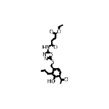 CCCc1c(CSc2nnc(NC(=O)CCC(=O)OCC)s2)ccc(C(C)=O)c1O